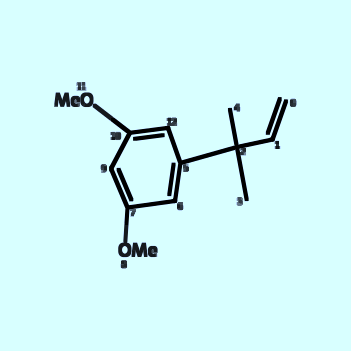 C=CC(C)(C)c1cc(OC)cc(OC)c1